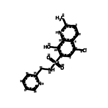 Cc1ccc2c(Cl)cc(S(=O)(=O)NCc3ccccn3)c(O)c2n1